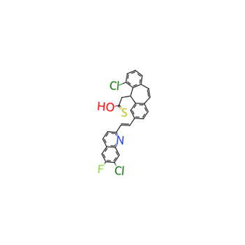 OC(=S)CC1c2cc(C=Cc3ccc4cc(F)c(Cl)cc4n3)ccc2C=Cc2cccc(Cl)c21